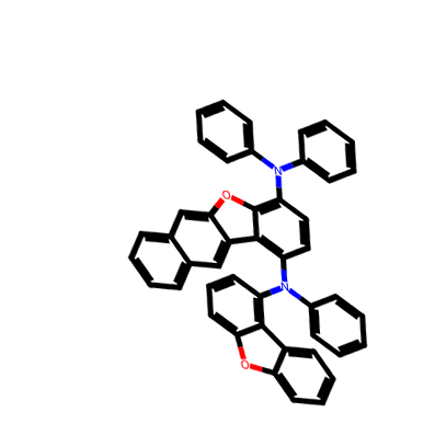 c1ccc(N(c2ccccc2)c2ccc(N(c3ccccc3)c3cccc4oc5ccccc5c34)c3c2oc2cc4ccccc4cc23)cc1